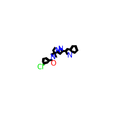 O=C(c1cccc(Cl)c1)N1CC2(CCn3nc(-c4cnc5ccccc5c4)cc32)C1